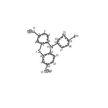 CC(C)(C)c1ccc2c(c1)Sc1cc(C(C)(C)C)ccc1N2c1ccc(I)nc1